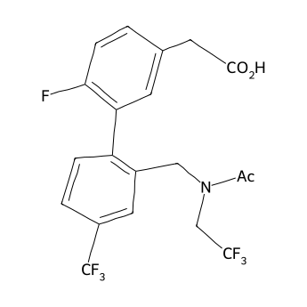 CC(=O)N(Cc1cc(C(F)(F)F)ccc1-c1cc(CC(=O)O)ccc1F)CC(F)(F)F